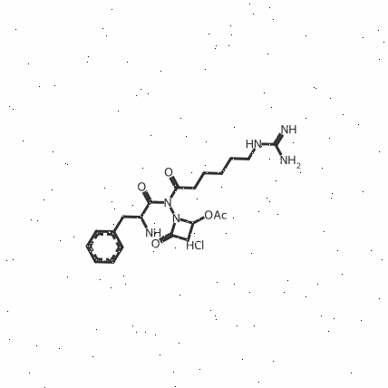 CC(=O)OC1CC(=O)N1N(C(=O)CCCCCNC(=N)N)C(=O)C(N)Cc1ccccc1.Cl